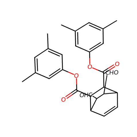 Cc1cc(C)cc(OC(=O)C2C3C=CC(C(C=O)C3C=O)C2C(=O)Oc2cc(C)cc(C)c2)c1